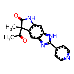 CC(=O)C1(C)C(=O)Nc2cc3[nH]c(-c4ccncc4)nc3cc21